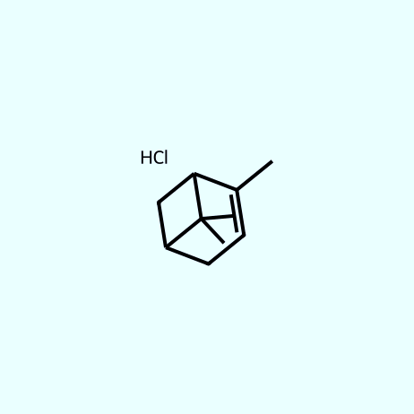 CC1=CCC2CC1C2(C)C.Cl